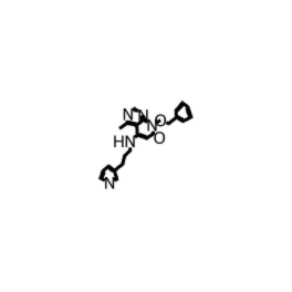 Cc1ncnc2c1c(NCCCc1cccnc1)cc(=O)n2OCc1ccccc1